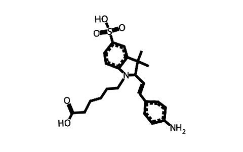 CC1(C)c2cc(S(=O)(=O)O)ccc2N(CCCCCC(=O)O)C1C=Cc1ccc(N)cc1